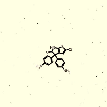 Nc1ccc(C2(c3ccc(N)cc3)C(=O)Nc3sc(Cl)cc32)cc1